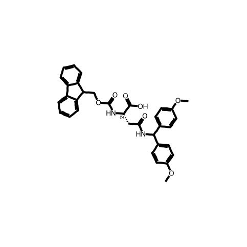 COc1ccc(C(NC(=O)C[C@H](NC(=O)OCC2c3ccccc3-c3ccccc32)C(=O)O)c2ccc(OC)cc2)cc1